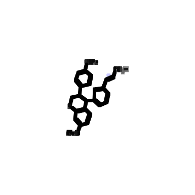 COc1ccc(C2CSc3cc(OC)ccc3C2c2cccc(/C=C/C(=O)O)c2)cc1